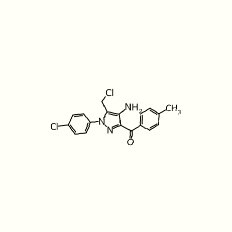 Cc1ccc(C(=O)c2nn(-c3ccc(Cl)cc3)c(CCl)c2N)cc1